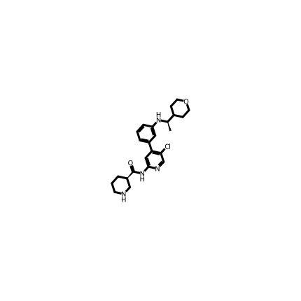 C[C@@H](Nc1cccc(-c2cc(NC(=O)[C@@H]3CCCNC3)ncc2Cl)c1)C1CCOCC1